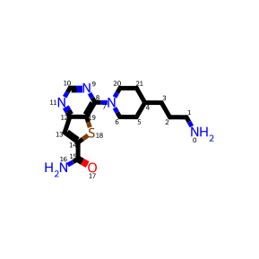 NCCCC1CCN(c2ncnc3cc(C(N)=O)sc23)CC1